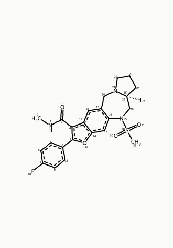 CNC(=O)c1c(-c2ccc(F)cc2)oc2cc3c(cc12)CN1CCC[C@H]1CN3S(C)(=O)=O